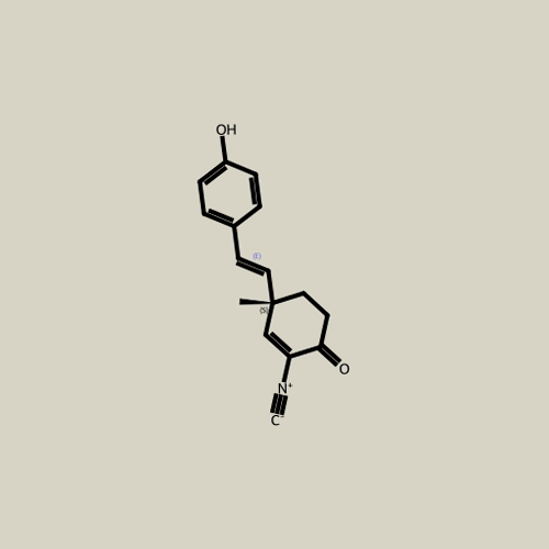 [C-]#[N+]C1=C[C@](C)(/C=C/c2ccc(O)cc2)CCC1=O